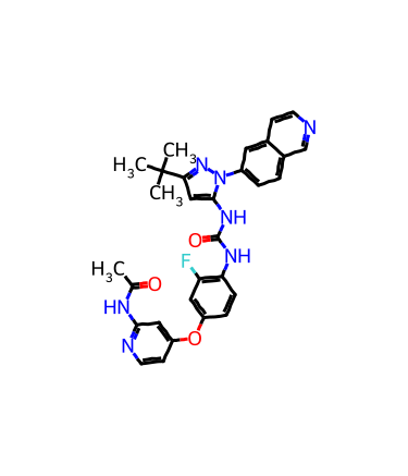 CC(=O)Nc1cc(Oc2ccc(NC(=O)Nc3cc(C(C)(C)C)nn3-c3ccc4cnccc4c3)c(F)c2)ccn1